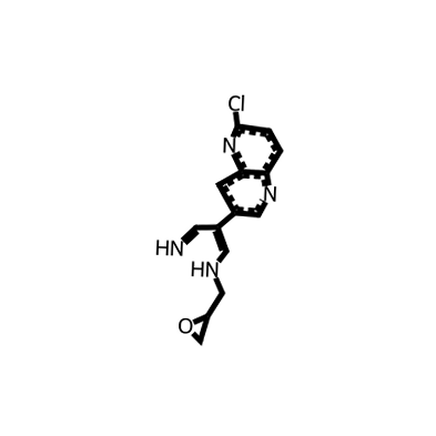 N=C/C(=C\NCC1CO1)c1cnc2ccc(Cl)nc2c1